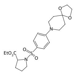 CCOC(=O)C1CCCN1S(=O)(=O)c1ccc(N2CCC3(CC2)OCCO3)cc1